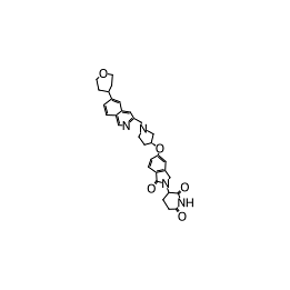 O=C1CCC(N2Cc3cc(O[C@H]4CCN(Cc5cc6cc(C7CCOCC7)ccc6cn5)C4)ccc3C2=O)C(=O)N1